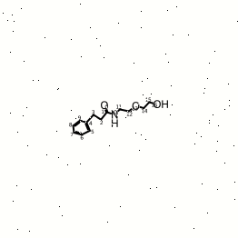 O=C(CCc1ccccc1)NCCOCCO